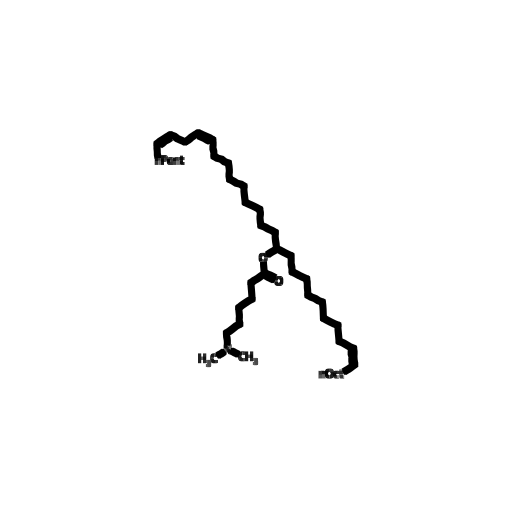 CCCCC/C=C\C/C=C\CCCCCCCCC(CCCCCCCC/C=C\CCCCCCCC)OC(=O)CCCCCN(C)C